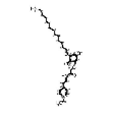 CCCCCCCCCCCCCCOc1cccc(OCC(=O)NCCc2cc[n+](CC)cc2)c1Cl.[I-]